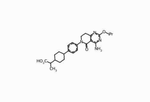 CC(C)Oc1nc(N)c2c(n1)CCN(c1ccc(C3CCC(C(C)C(=O)O)CC3)cc1)C2=O